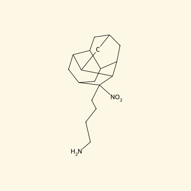 NCCCCC1([N+](=O)[O-])C2CC3C4CC5CC3C1C(C5)C4C2